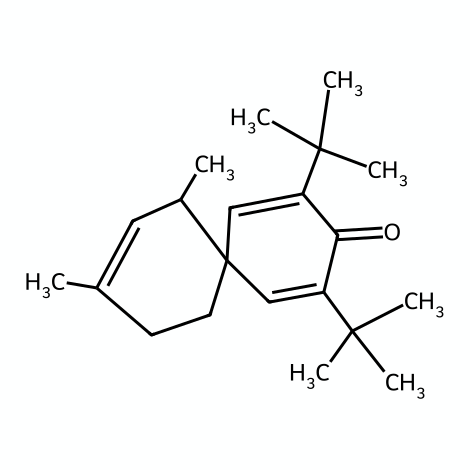 CC1=CC(C)C2(C=C(C(C)(C)C)C(=O)C(C(C)(C)C)=C2)CC1